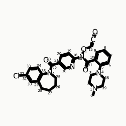 CN1CCN(c2ccccc2C(=O)N(OC=C=O)c2ccc(C(=O)N3CCCCc4cc(Cl)ccc43)cn2)CC1